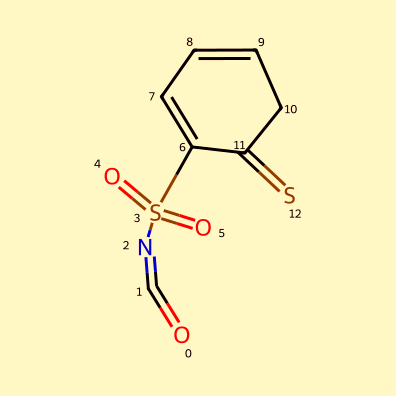 O=C=NS(=O)(=O)C1=CC=CCC1=S